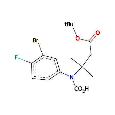 CC(C)(C)OC(=O)CC(C)(C)N(C(=O)O)c1ccc(F)c(Br)c1